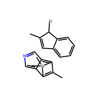 CC1=C2C3=CN=CC3=C1[Si]2(C)C.CC1=Cc2ccccc2[CH]1[Zr]